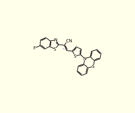 N#C/C(=C\c1ccc(N2c3ccccc3Sc3ccccc32)s1)c1nc2ccc(F)cc2s1